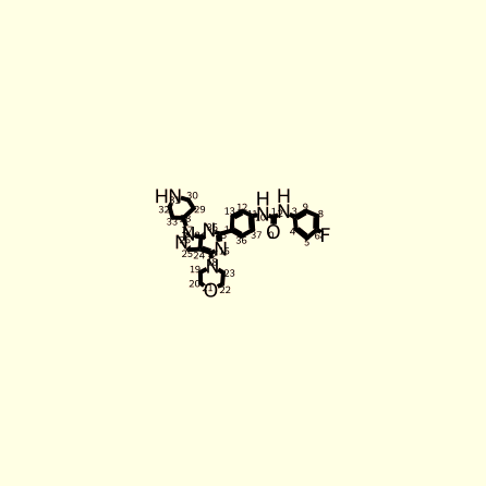 O=C(Nc1ccc(F)cc1)Nc1ccc(-c2nc(N3CCOCC3)c3cnn(C4CCNCC4)c3n2)cc1